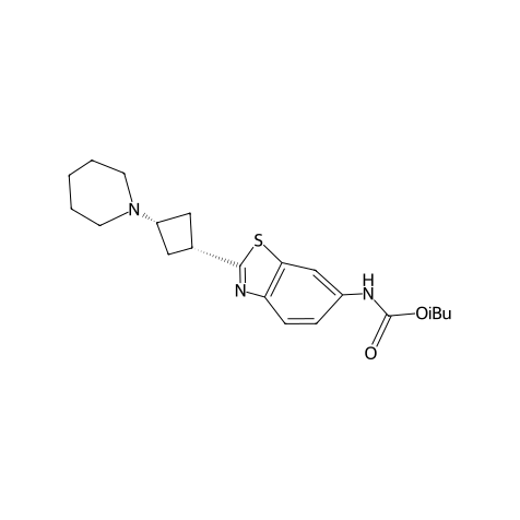 CC(C)COC(=O)Nc1ccc2nc([C@H]3C[C@@H](N4CCCCC4)C3)sc2c1